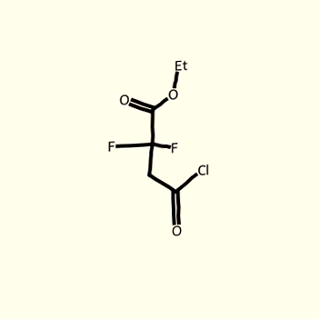 CCOC(=O)C(F)(F)CC(=O)Cl